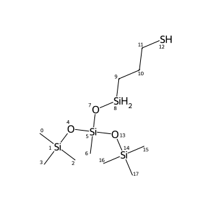 C[Si](C)(C)O[Si](C)(O[SiH2]CCCS)O[Si](C)(C)C